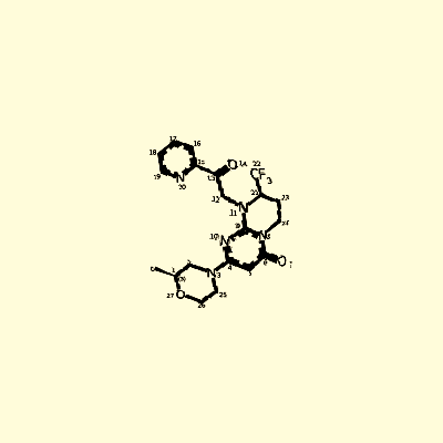 C[C@H]1CN(c2cc(=O)n3c(n2)N(CC(=O)c2ccccn2)C(C(F)(F)F)CC3)CCO1